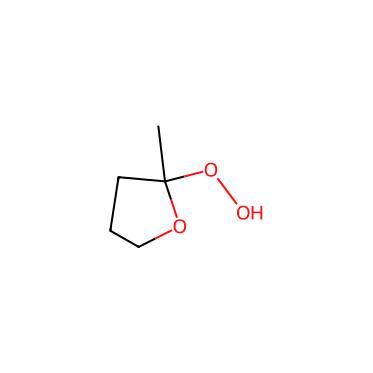 CC1(OO)CCCO1